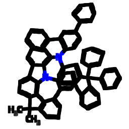 CC1(C)c2cccc3c2-c2c1ccc1c4cccc(N(c5ccc6c(c5)C(c5ccccc5)(c5ccccc5)c5ccccc5-6)c5ccc(-c6ccccc6)cc5-c5ccccc5)c4n(c21)-c1ccccc1-3